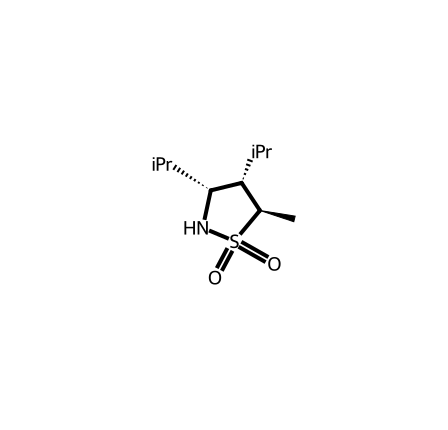 CC(C)[C@H]1[C@@H](C(C)C)NS(=O)(=O)[C@@H]1C